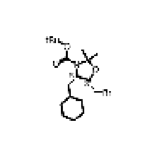 CC(C)(C)OC(=O)N1[C@@H](CC2CCCCC2)[C@@H](CBr)OC1(C)C